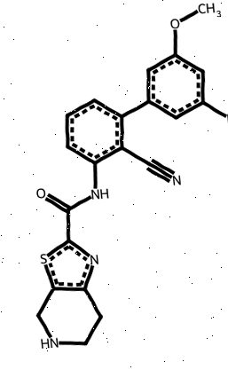 COc1cc(F)cc(-c2cccc(NC(=O)c3nc4c(s3)CNCC4)c2C#N)c1